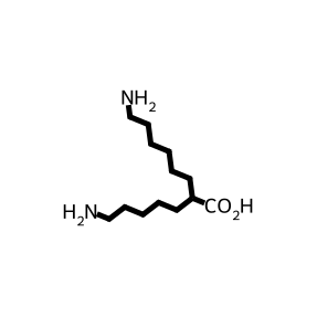 NCCCCCCC(CCCCCN)C(=O)O